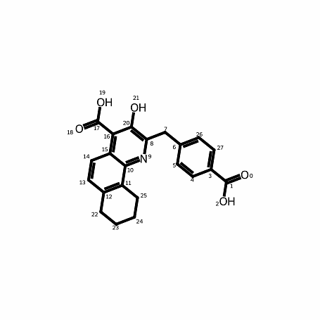 O=C(O)c1ccc(Cc2nc3c4c(ccc3c(C(=O)O)c2O)CCCC4)cc1